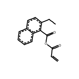 C=CC(=O)OC(=O)c1c(CC)ccc2ccccc12